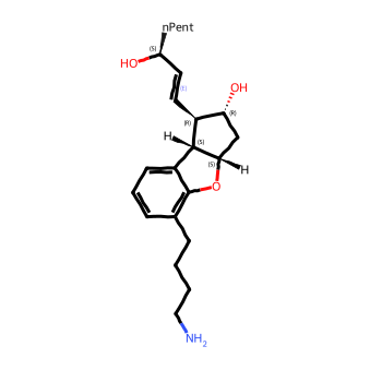 CCCCC[C@H](O)/C=C/[C@@H]1[C@H]2c3cccc(CCCCN)c3O[C@H]2C[C@H]1O